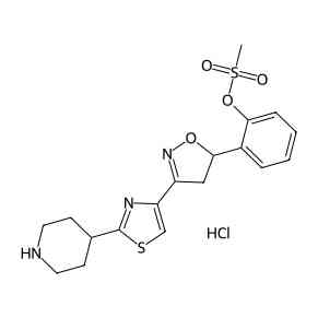 CS(=O)(=O)Oc1ccccc1C1CC(c2csc(C3CCNCC3)n2)=NO1.Cl